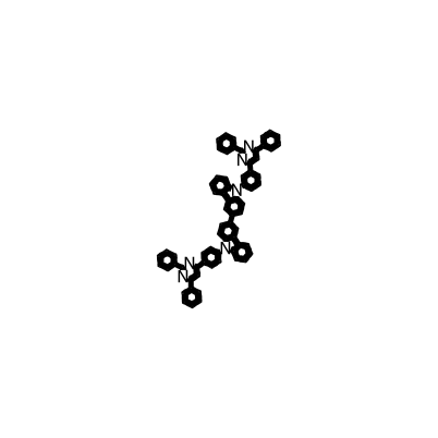 c1ccc(-c2cc(-c3ccc(-n4c5ccccc5c5cc(-c6ccc7c(c6)c6ccccc6n7-c6cccc(-c7cc(-c8ccccc8)nc(-c8ccccc8)n7)c6)ccc54)cc3)nc(-c3ccccc3)n2)cc1